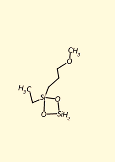 CC[Si]1(CCCOC)O[SiH2]O1